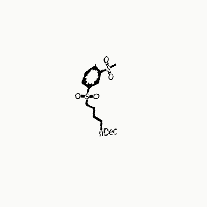 CCCCCCCCCCCCCCS(=O)(=O)c1cc[c]c(S(C)(=O)=O)c1